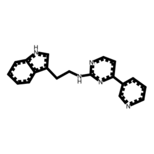 c1cncc(-c2ccnc(NCCc3c[nH]c4ccccc34)n2)c1